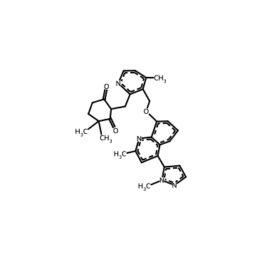 Cc1cc(-c2ccnn2C)c2cccc(OCc3c(C)ccnc3CC3C(=O)CCC(C)(C)C3=O)c2n1